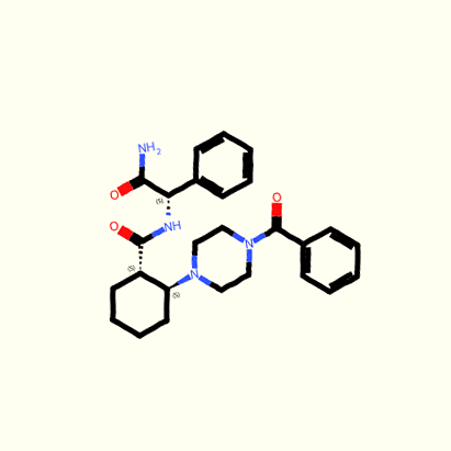 NC(=O)[C@@H](NC(=O)[C@H]1CCCC[C@@H]1N1CCN(C(=O)c2ccccc2)CC1)c1ccccc1